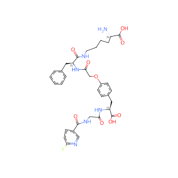 N[C@@H](CCCCNC(=O)[C@H](Cc1ccccc1)NC(=O)COc1ccc(C[C@H](NC(=O)CNC(=O)c2ccc(F)nc2)C(=O)O)cc1)C(=O)O